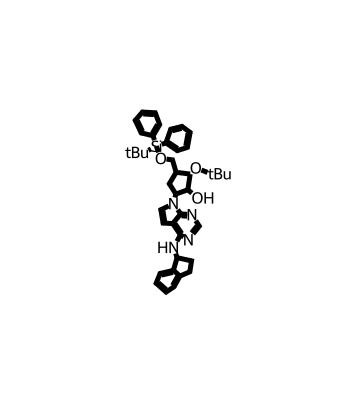 CC(C)(C)OC1C(CO[Si](c2ccccc2)(c2ccccc2)C(C)(C)C)CC(n2ccc3c(NC4CCc5ccccc54)ncnc32)C1O